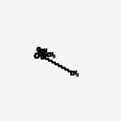 CCCCCCCCCCCCCCCCCC(OC(=O)C1CCCCC1C(=O)O)C(C)C